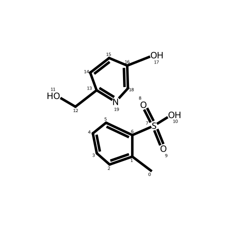 Cc1ccccc1S(=O)(=O)O.OCc1ccc(O)cn1